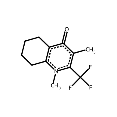 Cc1c(C(F)(F)F)n(C)c2c(c1=O)CCCC2